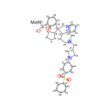 CNC(=O)OC1CCCC1C(Cn1cccc1)(c1ccccc1)C1CCN(CC2CN(c3ccc(S(=O)(=O)c4ccccc4)cc3)C2)CC1